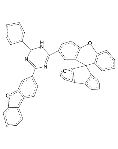 c1ccc(C2N=C(c3ccc4c(c3)oc3ccccc34)N=C(c3ccc4c(c3)C3(c5ccccc5O4)c4ccccc4-c4ccccc43)N2)cc1